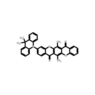 Cc1c2oc3cc(N4c5ccccc5C(C)(C)c5ccccc54)ccc3c(=O)c2c(C)c2oc3ccccc3c(=O)c12